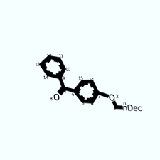 CCCCCCCCCCCOc1ccc(C(=O)c2ccccc2)cc1